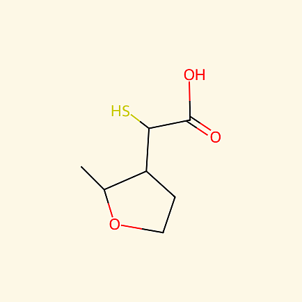 CC1OCCC1C(S)C(=O)O